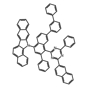 c1ccc(-c2cccc(-c3ccc4c(-n5c6cc7ccccc7cc6c6ccc7ccccc7c65)cc(-c5ccccc5)c(-c5nc(-c6ccccc6)nc(-c6ccc7ccccc7c6)n5)c4c3)c2)cc1